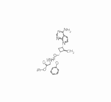 C=C1[C@H](COP(NCC(=O)OC(C)C)Oc2ccccc2)C[C@@H]1n1ccc2c(N)ncnc21